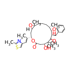 CC(=Cc1csc(C)n1)[C@@H]1C[C@H]2O[C@]2(C)CCC[C@H](C)[C@H](O)[C@@H](Cc2ccccc2)C(=O)C(C)(C)[C@@H](O)CC(=O)O1